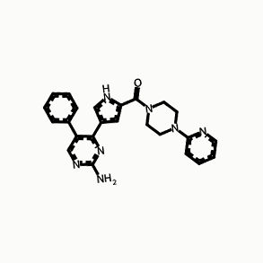 Nc1ncc(-c2ccccc2)c(-c2c[nH]c(C(=O)N3CCN(c4ccccn4)CC3)c2)n1